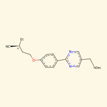 CCCCCCCCCCCc1cnc(-c2ccc(OCC[C@@H](C#N)CC)cc2)nc1